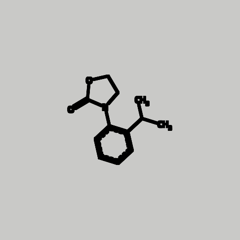 CC(C)c1ccccc1N1CCOC1=O